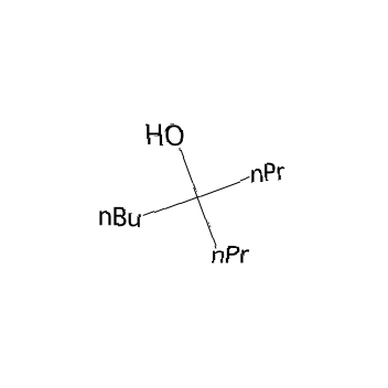 [CH2]CCCC(O)(CCC)CCC